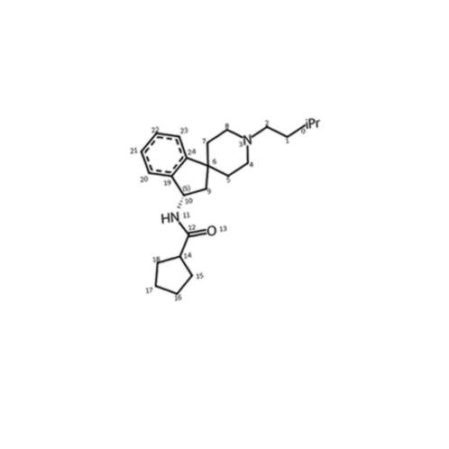 CC(C)CCN1CCC2(CC1)C[C@H](NC(=O)C1CCCC1)c1ccccc12